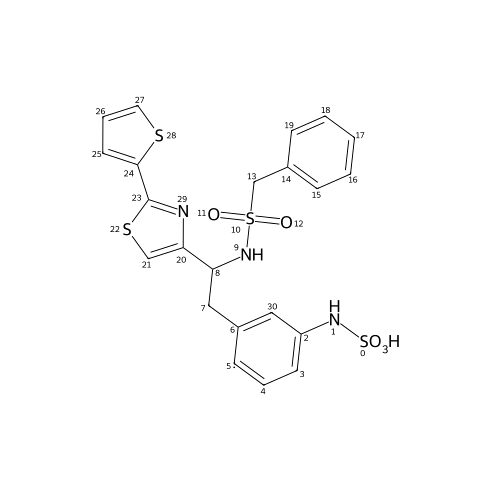 O=S(=O)(O)Nc1cc[c]c(CC(NS(=O)(=O)Cc2ccccc2)c2csc(-c3cccs3)n2)c1